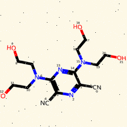 N#Cc1nc(C#N)c(N(CCO)CCO)nc1N(CCO)CCO